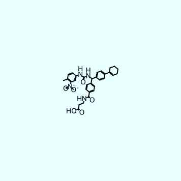 Cc1ccc(NC(=O)NC(c2ccc(C(=O)NCCC(=O)O)cc2)c2ccc(C3=CCCCC3)cc2)cc1[N+](=O)[O-]